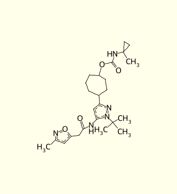 Cc1cc(CC(=O)Nc2cc(C3CCCC(OC(=O)NC4(C)CC4)CC3)nn2C(C)(C)C)on1